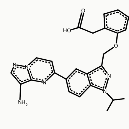 CC(C)n1nc(COc2ccccc2CC(=O)O)c2cc(-c3ccn4ncc(N)c4n3)ccc21